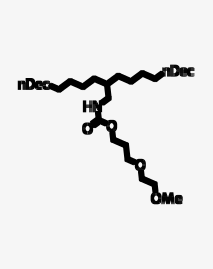 CCCCCCCCCCCCCCC(CCCCCCCCCCCCCC)CNC(=O)OCCCOCCOC